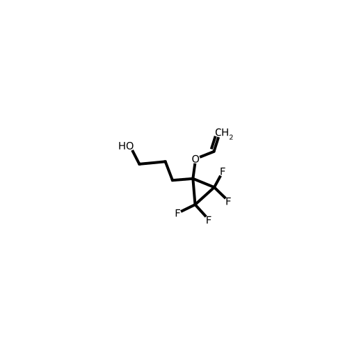 C=COC1(CCCO)C(F)(F)C1(F)F